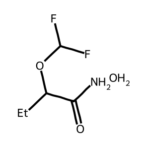 CCC(OC(F)F)C(N)=O.O